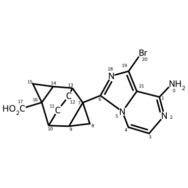 Nc1nccn2c(C34CC3C3CCC4C4CC43C(=O)O)nc(Br)c12